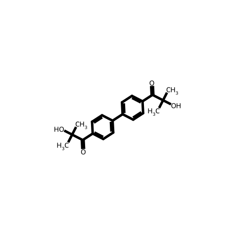 CC(C)(O)C(=O)c1ccc(-c2ccc(C(=O)C(C)(C)O)cc2)cc1